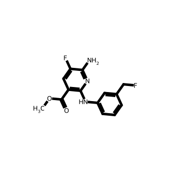 COC(=O)c1cc(F)c(N)nc1Nc1cccc(CF)c1